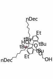 CCCCCCCCCCCCCCCCCCC(O)(CCCCCCCCCCCCCCCCCC)C(OCCOCCO)(c1c(C(C)(C)C)cc(CC)cc1C(C)(C)C)c1c(C(C)(C)C)cc(CC)cc1C(C)(C)C